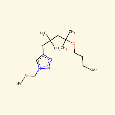 CSCCCOC(C)(C)CC(C)(C)Cc1cn(CSC(C)C)nn1